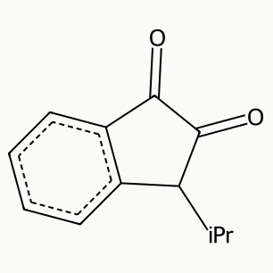 CC(C)C1C(=O)C(=O)c2ccccc21